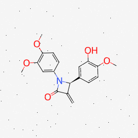 C=C1C(=O)N(c2ccc(OC)c(OC)c2)[C@H]1c1ccc(OC)c(O)c1